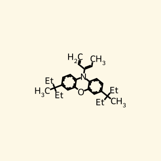 C=C/C(=C\C)N1c2ccc(C(C)(CC)CC)cc2Oc2cc(C(C)(CC)CC)ccc21